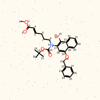 COC(=O)C=CCCCN(C(=O)OC(C)(C)C)c1cc(OCc2ccccc2)c2ccccc2c1Br